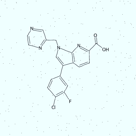 O=C(O)c1ccc2c(-c3ccc(Cl)c(F)c3)cn(Cc3cnccn3)c2n1